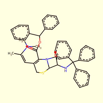 CC(=CC1=C(C(=O)OC(c2ccccc2)c2ccccc2)N2C(=O)C(NC(c3ccccc3)(c3ccccc3)c3ccccc3)C2SC1)N(C)C